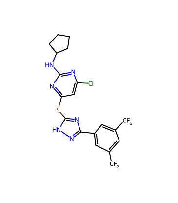 FC(F)(F)c1cc(-c2n[nH]c(Sc3cc(Cl)nc(NC4CCCC4)n3)n2)cc(C(F)(F)F)c1